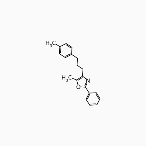 Cc1ccc(CCCc2nc(-c3ccccc3)oc2C)cc1